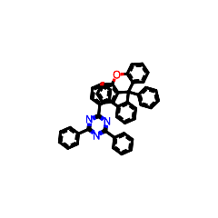 c1ccc(-c2nc(-c3ccccc3)nc(-c3ccccc3-c3ccccc3C3(c4ccccc4)c4ccccc4Oc4ccccc43)n2)cc1